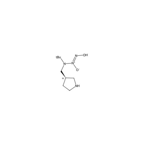 CC(C)(C)N(C[C@@H]1CCNC1)[N+]([O-])=NO